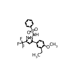 CCc1cc(-c2cc(C(F)(F)F)nn2NS(=O)(=O)c2ccccc2)ccc1OC